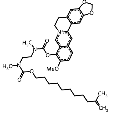 C=C(C)CCCCCCCCCOC(=O)N(C)CCN(C)C(=O)Oc1c(OC)ccc2cc3[n+](cc12)CCc1cc2c(cc1-3)OCO2